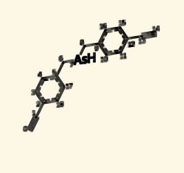 C#Cc1ccc(C[AsH]Cc2ccc(C#C)cc2)cc1